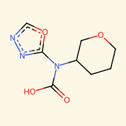 O=C(O)N(c1nnco1)C1CCCOC1